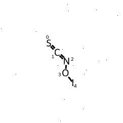 S=C=NOI